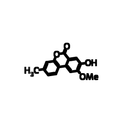 COc1cc2c(cc1O)c(=O)oc1cc(C)ccc12